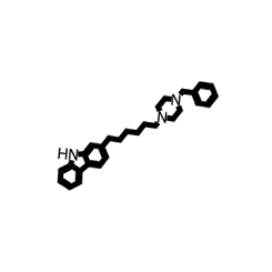 c1ccc(CN2CCN(CCCCCCc3ccc4c(c3)[nH]c3ccccc34)CC2)cc1